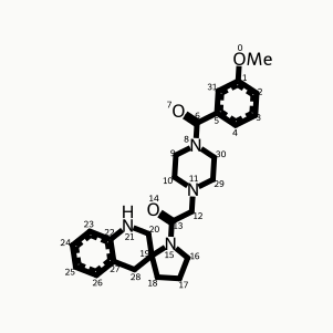 COc1cccc(C(=O)N2CCN(CC(=O)N3CCCC34CNc3ccccc3C4)CC2)c1